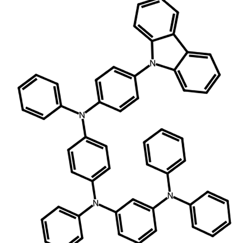 c1ccc(N(c2ccc(N(c3ccccc3)c3cccc(N(c4ccccc4)c4ccccc4)c3)cc2)c2ccc(-n3c4ccccc4c4ccccc43)cc2)cc1